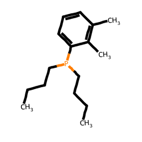 CCCCP(CCCC)c1cccc(C)c1C